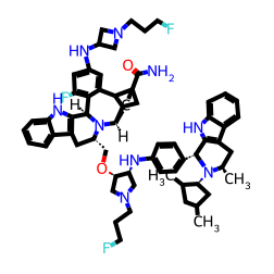 CC1CC(C)[C@H](N2[C@H](c3ccc(N[C@@H]4CN(CCCF)C[C@@H]4OC[C@@H]4Cc5c([nH]c6ccccc56)[C@H]5c6c(F)cc(NC7CN(CCCF)C7)cc6C6C7CC6(C(N)=O)C[C@H]7N45)cc3)c3[nH]c4ccccc4c3C[C@H]2C)C1